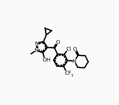 Cn1nc(C2CC2)c(C(=O)c2ccc(C(F)(F)F)c(N3CCCCC3=O)c2Cl)c1O